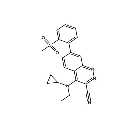 CCN(c1c(C#N)nnc2cc(-c3ccccc3S(C)(=O)=O)ccc12)C1CC1